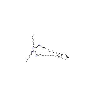 CCCCC/C=C\C/C=C\CCCCCCCCC1(CCCCCCCC/C=C\C/C=C\CCCCC)CC2CCN(C)CCC2O1